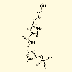 O=C(NCc1cccc(OC(F)(F)F)c1)c1cn(CCCCO)nn1